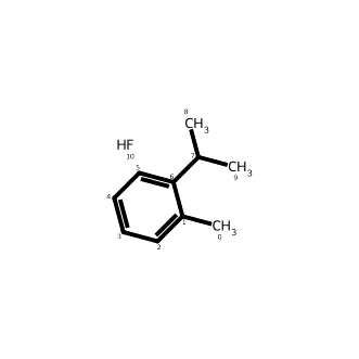 Cc1ccccc1C(C)C.F